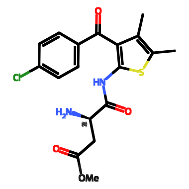 COC(=O)C[C@@H](N)C(=O)Nc1sc(C)c(C)c1C(=O)c1ccc(Cl)cc1